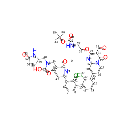 COc1nc(-c2cccc(-c3cccc(-c4ccn5c(=O)c(C=O)c(OCCNC(=O)OC(C)(C)C)nc5c4)c3Cl)c2Cl)ccc1CN(CC1CCC(=O)N1)C(=O)O